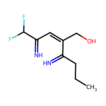 CCCC(=N)/C(=C\C(=N)C(F)F)CO